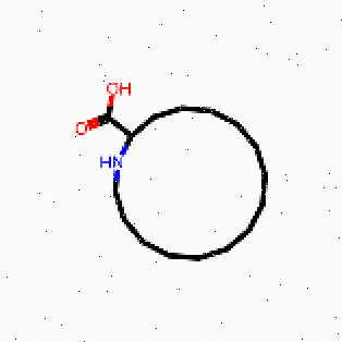 O=C(O)C1CCCCCCCCCCCCCCN1